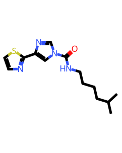 CC(C)CCCCNC(=O)n1cnc(-c2nccs2)c1